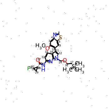 COc1cc2ncsc2cc1-c1cn(COCC[Si](C)(C)C)c2nc(NC(=O)[C@@H]3C[C@@H]3F)ccc12